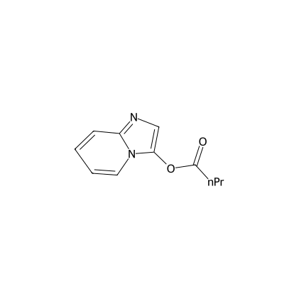 CCCC(=O)Oc1cnc2ccccn12